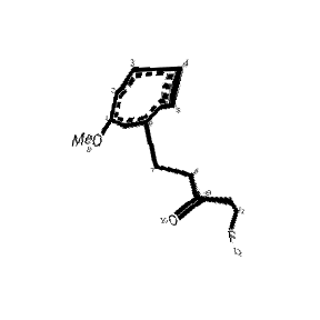 COc1ccccc1CCC(=O)CF